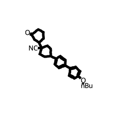 CCCCOc1ccc(-c2ccc(C3CCC(C#N)(C4CCCC(=O)C4)CC3)cc2)cc1